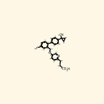 N#CC1(c2ccc(-c3ccc(F)cc3COc3ccc(CCC(=O)O)nc3)cc2)CC1